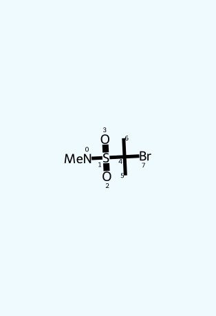 CNS(=O)(=O)C(C)(C)Br